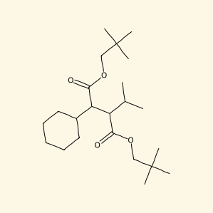 CC(C)C(C(=O)OCC(C)(C)C)C(C(=O)OCC(C)(C)C)C1CCCCC1